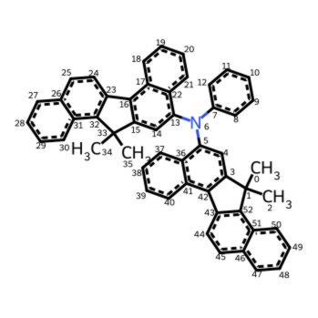 CC1(C)c2cc(N(c3ccccc3)c3cc4c(c5ccccc35)-c3ccc5ccccc5c3C4(C)C)c3ccccc3c2-c2ccc3ccccc3c21